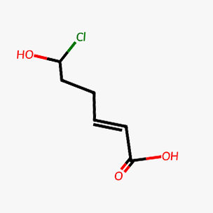 O=C(O)C=CCCC(O)Cl